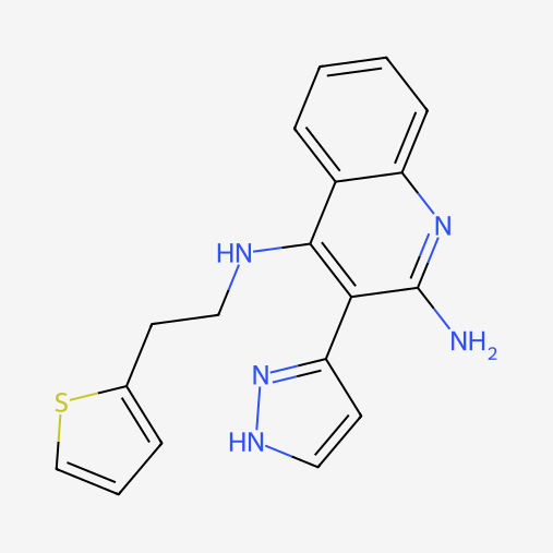 Nc1nc2ccccc2c(NCCc2cccs2)c1-c1cc[nH]n1